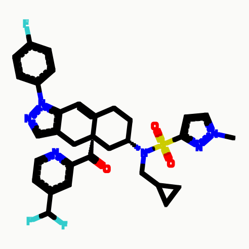 Cn1ccc(S(=O)(=O)N(CC2CC2)[C@H]2CCC3=Cc4c(cnn4-c4ccc(F)cc4)C[C@]3(C(=O)c3cc(C(F)F)ccn3)C2)n1